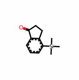 C[Si](C)(C)c1cccc2c1CCC2=O